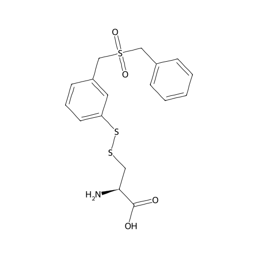 N[C@@H](CSSc1cccc(CS(=O)(=O)Cc2ccccc2)c1)C(=O)O